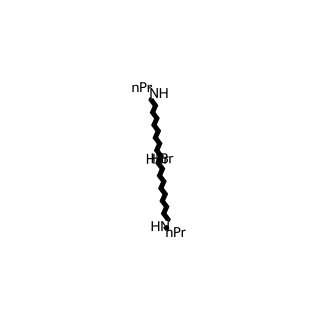 Br.Br.CCCNCCCCCCCCCCCCCCCCCCCCNCCC